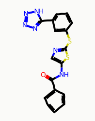 O=C(Nc1cnc(Sc2cccc(-c3nnn[nH]3)c2)s1)c1ccccc1